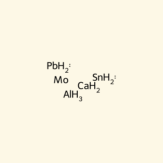 [AlH3].[CaH2].[Mo].[PbH2].[SnH2]